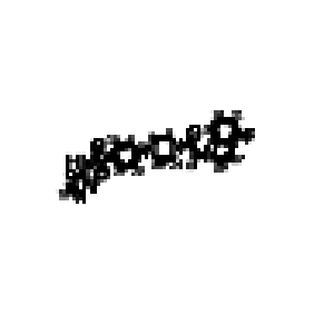 C[C@@H](C(=O)N1CCN(c2ccc(S(=O)(=O)Nc3nncs3)cc2)CC1)n1ccc2c(F)cccc21